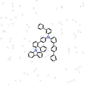 c1ccc(-c2ccc(-c3cccc(N(c4ccc(-c5cccc(-n6c7ccccc7c7ccccc76)c5-c5ccccc5)cc4)c4cccc(-c5ccccc5)c4)c3)cc2)cc1